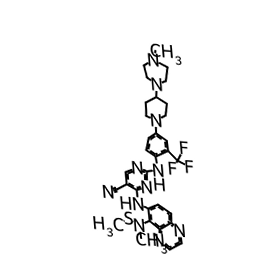 CSN(C)c1c(Nc2nc(Nc3ccc(N4CCC(N5CCN(C)CC5)CC4)cc3C(F)(F)F)ncc2C#N)ccc2nccnc12